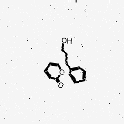 O=c1cccco1.OCCCc1ccccc1